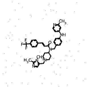 Cc1cc(Nc2ccc(CN(C(=O)C=Cc3ccc(C(F)(F)F)cc3)C3CCN(Cc4cnc(C)n4C)CC3)cc2)ccn1